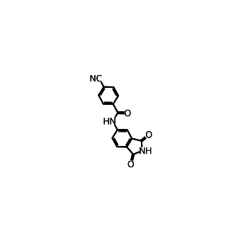 N#Cc1ccc(C(=O)Nc2ccc3c(c2)C(=O)NC3=O)cc1